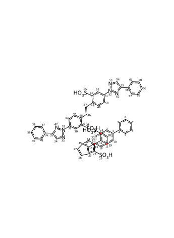 O=S(=O)(O)c1cc(-c2ccccc2)ccc1-c1cc2c(-c3ccccc3)c(c1S(=O)(=O)O)C=C2.O=S(=O)(O)c1cc(-n2ncc(-c3ccccc3)n2)ccc1C=Cc1ccc(-n2ncc(-c3ccccc3)n2)cc1S(=O)(=O)O